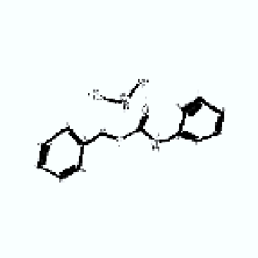 O=C(Nc1ccccc1)OCc1ccccc1.OBO